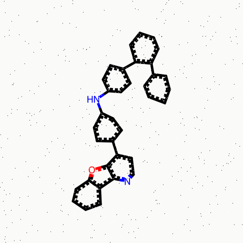 c1ccc(-c2ccccc2-c2ccc(Nc3ccc(-c4ccnc5c4oc4ccccc45)cc3)cc2)cc1